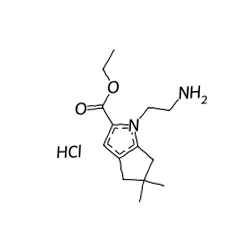 CCOC(=O)c1cc2c(n1CCN)CC(C)(C)C2.Cl